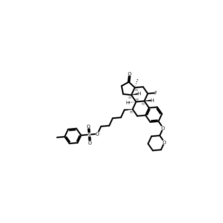 Cc1ccc(S(=O)(=O)OCCCCC[C@@H]2Cc3cc(OC4CCCCO4)ccc3[C@H]3C(F)C[C@]4(C)C(=O)CC[C@H]4[C@H]23)cc1